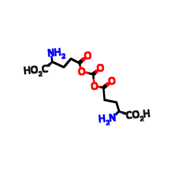 N[C@@H](CCC(=O)OC(=O)OC(=O)CC[C@H](N)C(=O)O)C(=O)O